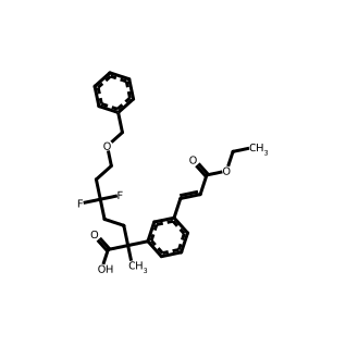 CCOC(=O)C=Cc1cccc(C(C)(CCC(F)(F)CCOCc2ccccc2)C(=O)O)c1